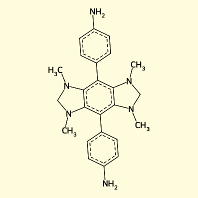 CN1CN(C)c2c(-c3ccc(N)cc3)c3c(c(-c4ccc(N)cc4)c21)N(C)CN3C